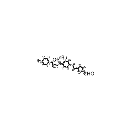 CCCCC(OC(=O)c1ccc(I)cc1)N(CC)c1ccc(/C=C/c2ccc(C=O)s2)cc1